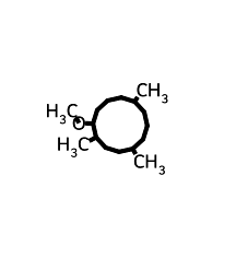 COC1CCCC(C)CCCC(C)CCC1C